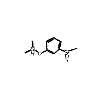 C[SiH](C)Oc1cccc([SiH](C)C)c1